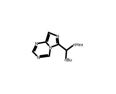 CCCCCCC(CCCC)c1ncc2ncncn12